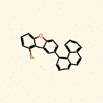 Brc1cccc2oc3ccc(-c4cccc5ccc6ccccc6c45)cc3c12